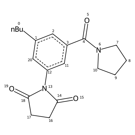 CCCCc1cc(C(=O)N2CCCC2)cc(N2C(=O)CCC2=O)c1